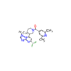 Cc1cc(C(=O)N2CC[C@@H](C)C(c3cc(C(F)F)nc4ncnn34)C2)cc(C)n1